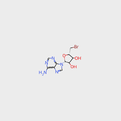 Nc1ncnc2c1ncn2[C@@H]1O[C@H](CBr)C(O)C1O